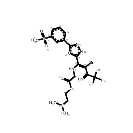 CN(C)CCOC(=O)CN/C(=C(/Br)C(=N)C(F)(F)F)c1nnc(-c2cccc(S(C)(=O)=O)c2)o1